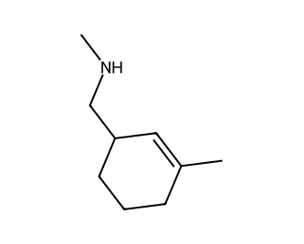 CNCC1C=C(C)CCC1